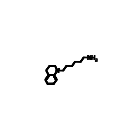 NCCCCCCN1CCCc2ccccc21